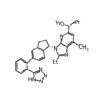 CCc1nc2c(C)cc([C@@H](O)C(C)C)nc2n1[C@H]1CCc2cc(-c3ccccc3-c3nnn[nH]3)ccc21